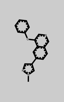 Cn1cc(-c2ccc3cncc(Oc4ccccc4)c3c2)cn1